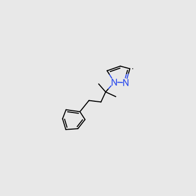 CC(C)(CCc1ccccc1)n1cc[c]n1